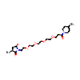 CC(C)(C)C1CCN(C(=O)CCOCCOCCOCCOCCN2C(=O)C(C(C)(C)C)CC2O)CC1